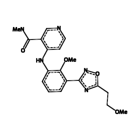 CNC(=O)c1cnccc1Nc1cccc(-c2noc(CCOC)n2)c1OC